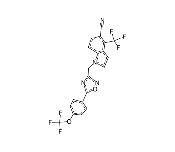 N#Cc1ccc2c(ccn2Cc2noc(-c3ccc(OC(F)(F)F)cc3)n2)c1C(F)(F)F